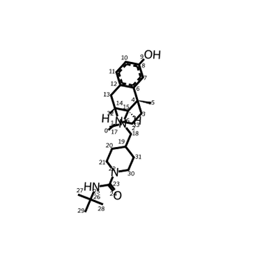 CN1CC[C@@]2(C)c3cc(O)ccc3C[C@@H]1[C@@H]2N(C)CC1CCN(C(=O)NC(C)(C)C)CC1